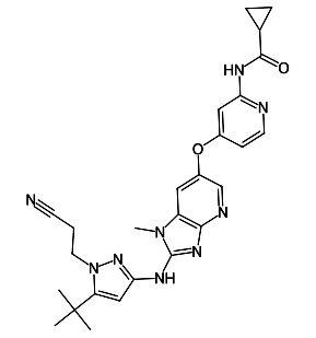 Cn1c(Nc2cc(C(C)(C)C)n(CCC#N)n2)nc2ncc(Oc3ccnc(NC(=O)C4CC4)c3)cc21